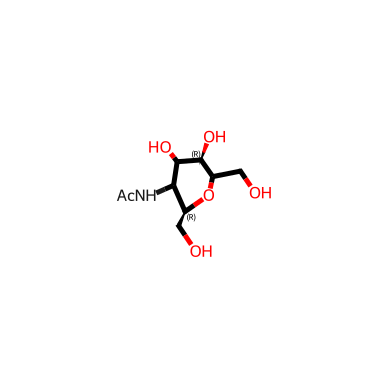 CC(=O)NC1C(O)[C@@H](O)C(CO)O[C@H]1CO